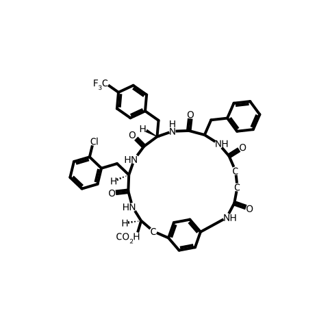 O=C1CCC(=O)NC(Cc2ccccc2)C(=O)N[C@@H](Cc2ccc(C(F)(F)F)cc2)C(=O)N[C@H](Cc2ccccc2Cl)C(=O)N[C@H](C(=O)O)Cc2ccc(cc2)N1